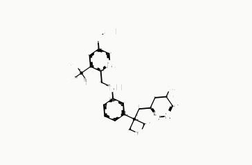 COc1cnc(CNc2cccc(C3(CC4=NN=CC(C)C4)COC3)c2)c(C(F)(F)F)c1